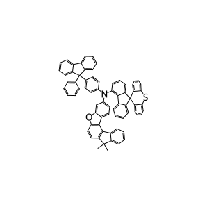 CC1(C)c2ccccc2-c2c1ccc1oc3cc(N(c4ccc(C5(c6ccccc6)c6ccccc6-c6ccccc65)cc4)c4cccc5c4-c4ccccc4C54c5ccccc5Sc5ccccc54)ccc3c21